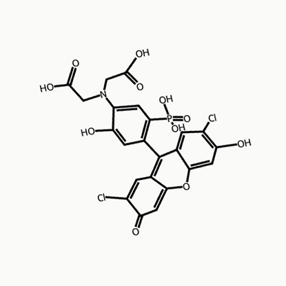 O=C(O)CN(CC(=O)O)c1cc(P(=O)(O)O)c(-c2c3cc(Cl)c(=O)cc-3oc3cc(O)c(Cl)cc23)cc1O